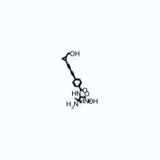 CC(C)(N)[C@H](NC(=O)c1ccc(C#CC#CC2CC2CO)cc1)C(=O)NO